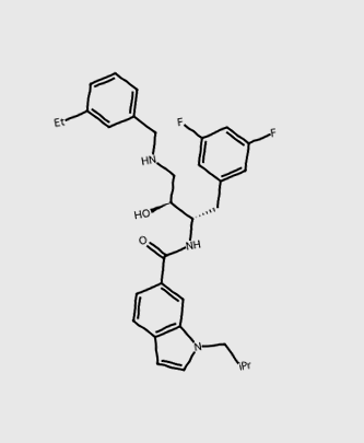 CCc1cccc(CNC[C@H](O)[C@H](Cc2cc(F)cc(F)c2)NC(=O)c2ccc3ccn(CC(C)C)c3c2)c1